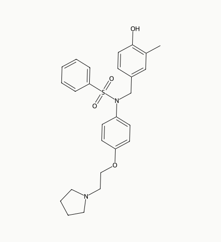 Cc1cc(CN(c2ccc(OCCN3CCCC3)cc2)S(=O)(=O)c2ccccc2)ccc1O